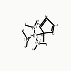 C[N](C)[Hf]([N](C)C)([N](C)C)[C]1(C)C=CC=C1